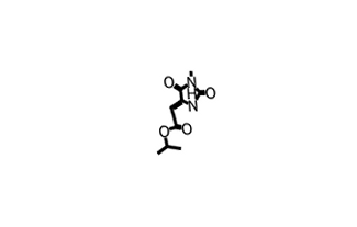 CC(C)OC(=O)/C=C1\NC(=O)N(C)C1=O